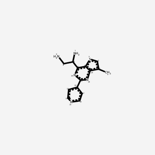 Cc1csc2c(C(N)CN)nc(-c3ccncc3)nc12